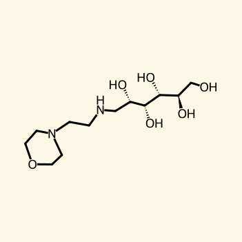 OC[C@@H](O)[C@@H](O)[C@H](O)[C@@H](O)CNCCN1CCOCC1